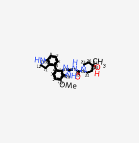 COc1ccc(-c2cccc3c2CCN3)c2nc(NC(=O)N3CCC(C)(O)CC3)[nH]c12